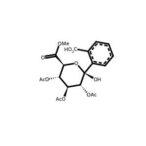 COC(=O)[C@H]1O[C@](O)(c2ccccc2C(=O)O)[C@H](OC(C)=O)[C@@H](OC(C)=O)[C@@H]1OC(C)=O